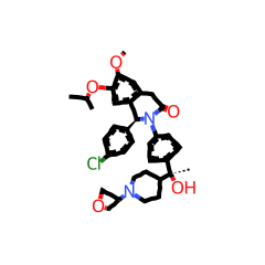 COc1cc2c(cc1OC(C)C)[C@H](c1ccc(Cl)cc1)N(c1ccc([C@@](C)(O)C3CCN(C4COC4)CC3)cc1)C(=O)C2